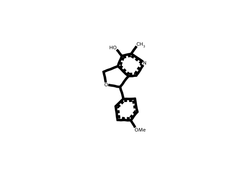 COc1ccc(C2OCc3c2cnc(C)c3O)cc1